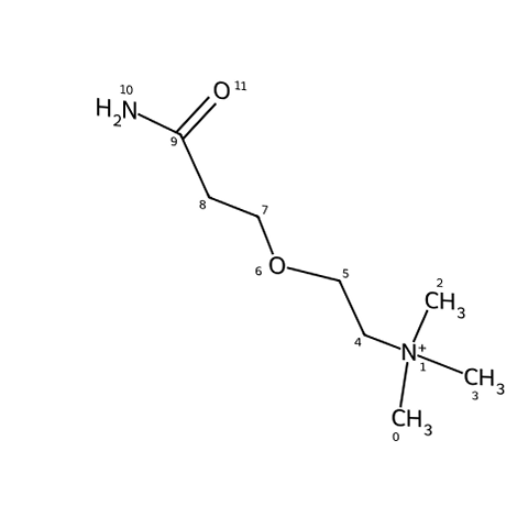 C[N+](C)(C)CCOCCC(N)=O